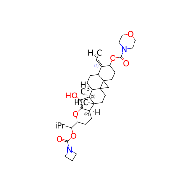 C/C=C1\C(OC(=O)N2CCOCC2)CCC23CC24CCC2(C)[C@H]5CCC(C(OC(=O)N6CCC6)C(C)C)OC5[C@H](O)[C@@]2(C)C4CCC13